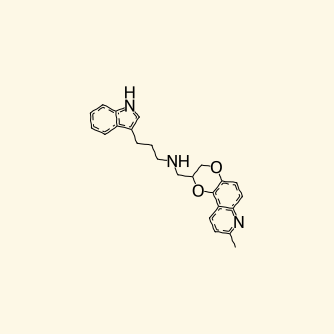 Cc1ccc2c3c(ccc2n1)OCC(CNCCCc1c[nH]c2ccccc12)O3